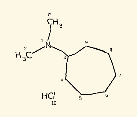 CN(C)C1CCCCCC1.Cl